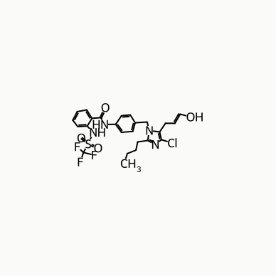 CCCCc1nc(Cl)c(CC=CO)n1Cc1ccc(NC(=O)c2ccccc2NS(=O)(=O)C(F)(F)F)cc1